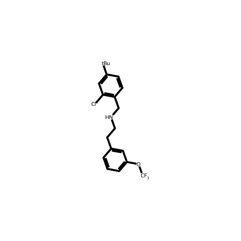 CC(C)(C)c1ccc(CNCCc2cccc(OC(F)(F)F)c2)c(Cl)c1